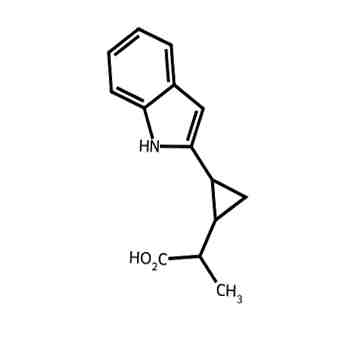 CC(C(=O)O)C1CC1c1cc2ccccc2[nH]1